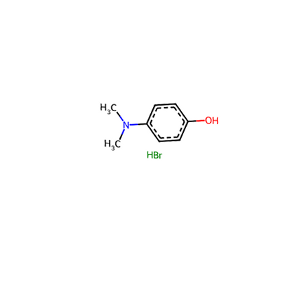 Br.CN(C)c1ccc(O)cc1